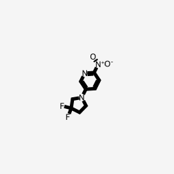 O=[N+]([O-])c1ccc(N2CCC(F)(F)C2)cn1